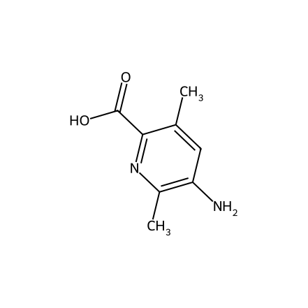 Cc1cc(N)c(C)nc1C(=O)O